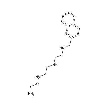 NCOBCCNCCNCc1ccc2ccccc2n1